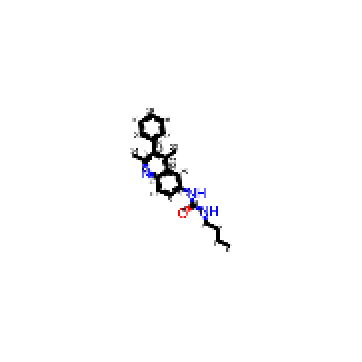 CCCCNC(=O)Nc1ccc2nc(C)c(-c3ccccc3)c(C)c2c1